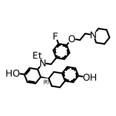 CCN(Cc1ccc(OCCN2CCCCC2)c(F)c1)C1C=C(O)C=CC1[C@@H]1CCc2cc(O)ccc2C1